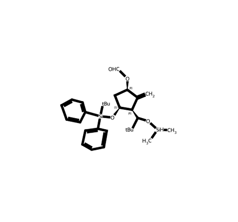 C=C1[C@H](OC=O)C[C@H](O[Si](c2ccccc2)(c2ccccc2)C(C)(C)C)[C@@H]1C(O[SiH](C)C)C(C)(C)C